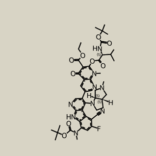 CCOC(=O)c1c(OC(=O)[C@@H](NC(=O)OC(C)(C)C)C(C)C)n(C)c2ncc(-c3cnc4[nH]c5c(N(C)C(=O)OC(C)(C)C)cc(F)c(C#N)c5c4c3N3CC[C@H]4CN(C)C[C@H]43)cc2c1=O